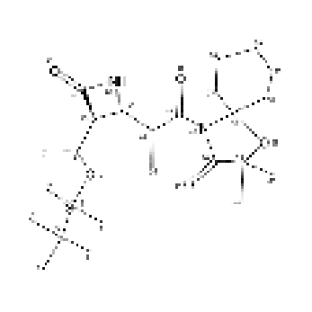 C[C@@H](O[Si](C)(C)C(C)(C)C)[C@H]1C(=O)N[C@@H]1[C@@H](C)C(=O)N1C(=O)C(C)(C)OC12CCCCC2